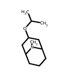 CC(C)OC1CC2CCCC(C1)N2C